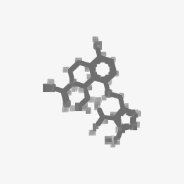 Cn1nnc(COc2ccc(Cl)c3c2[C@@H](CN)N(C(=O)O)CC3)c1C(F)F